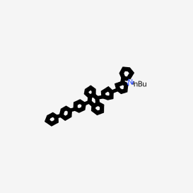 CCCCn1c2ccccc2c2cc(-c3ccc(-c4c5ccccc5c(-c5ccc(-c6ccc(-c7ccccc7)cc6)cc5)c5ccccc45)cc3)ccc21